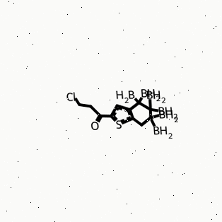 BC1(B)Cc2sc(C(=O)CCCl)cc2C(B)(B)C1(B)B